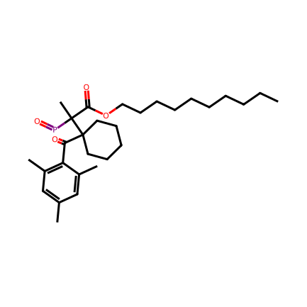 CCCCCCCCCCOC(=O)C(C)(P=O)C1(C(=O)c2c(C)cc(C)cc2C)CCCCC1